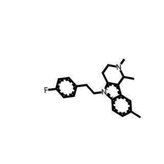 Cc1ccc2c(c1)c1c(n2CCc2ccc(F)cc2)CCN(C)C1C